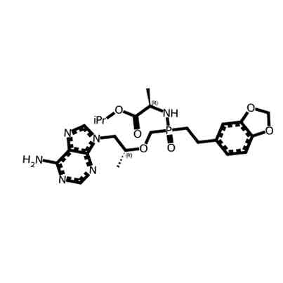 CC(C)OC(=O)[C@@H](C)NP(=O)(CCc1ccc2c(c1)OCO2)CO[C@H](C)Cn1cnc2c(N)ncnc21